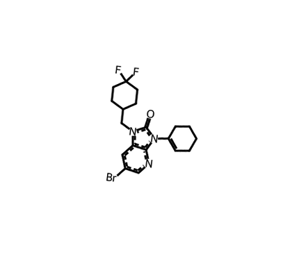 O=c1n(CC2CCC(F)(F)CC2)c2cc(Br)cnc2n1C1=CCCCC1